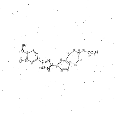 CC(C)Oc1ccc(-c2nc(-c3ccc4c(c3)CCN(CC(=O)O)CC4)no2)cc1Cl